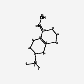 CN(C)C1CCC2=C(CCC/C2=N\O)C1